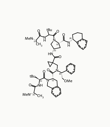 CN[C@@H](C)C(=O)NC(C(=O)N1C[C@@H](NC(=O)C2(CN(C(=O)[C@@H]3Cc4ccccc4CN3C(=O)[C@@H](NC(=O)[C@H](C)NC)C(C)(C)C)[C@@H](COC)c3ccccc3)CC2)C[C@H]1C(=O)N[C@@H]1CCCc2ccccc21)C(C)(C)C